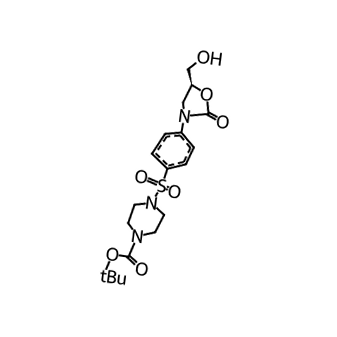 CC(C)(C)OC(=O)N1CCN(S(=O)(=O)c2ccc(N3C[C@@H](CO)OC3=O)cc2)CC1